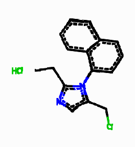 CCc1ncc(CCl)n1-c1cccc2ccccc12.Cl